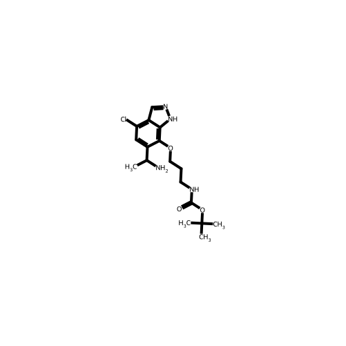 CC(N)c1cc(Cl)c2cn[nH]c2c1OCCCNC(=O)OC(C)(C)C